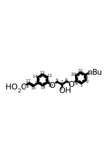 CCCCc1ccc(OCC(O)COc2cccc(C=CC(=O)O)c2)cc1